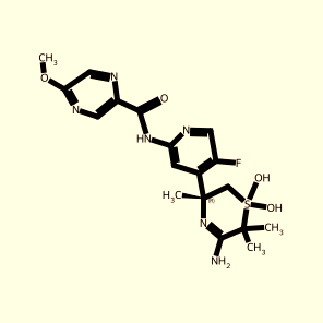 COc1cnc(C(=O)Nc2cc([C@]3(C)CS(O)(O)C(C)(C)C(N)=N3)c(F)cn2)cn1